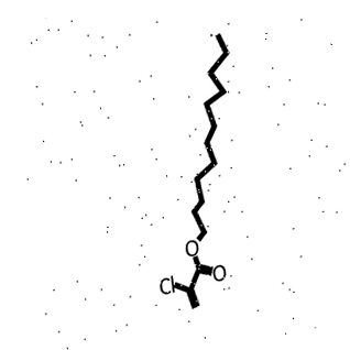 [CH2]CCCCCCCCCCCOC(=O)C(=C)Cl